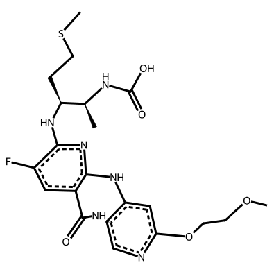 COCCOc1cc(Nc2nc(N[C@@H](CCSC)[C@H](C)NC(=O)O)c(F)cc2C(N)=O)ccn1